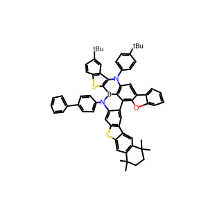 CC(C)(C)c1ccc(N2c3cc4c(oc5ccccc54)c4c3B(c3sc5ccc(C(C)(C)C)cc5c32)N(c2ccc(-c3ccccc3)cc2)c2cc3sc5cc6c(cc5c3cc2-4)C(C)(C)CCC6(C)C)cc1